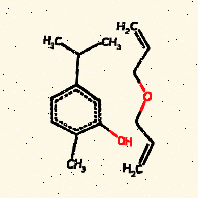 C=CCOCC=C.Cc1ccc(C(C)C)cc1O